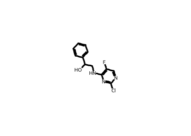 OC(CNc1nc(Cl)ncc1F)c1ccccc1